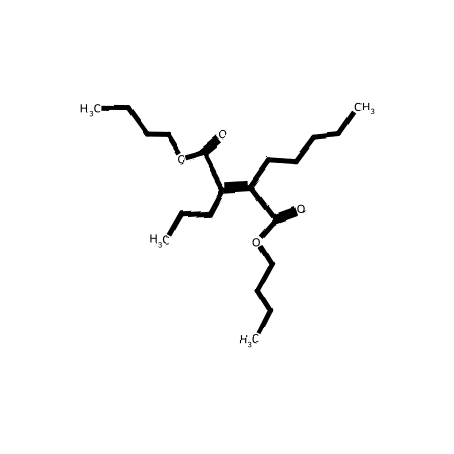 CCCCCC(C(=O)OCCCC)=C(CCC)C(=O)OCCCC